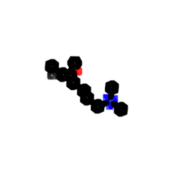 N#Cc1ccccc1-c1ccc2c3ccc(-c4ccc5cc(-c6cccc(-c7nc(-c8ccccc8)nc(-c8ccccc8)n7)c6)ccc5c4)cc3c3oc4ccccc4c3c2c1